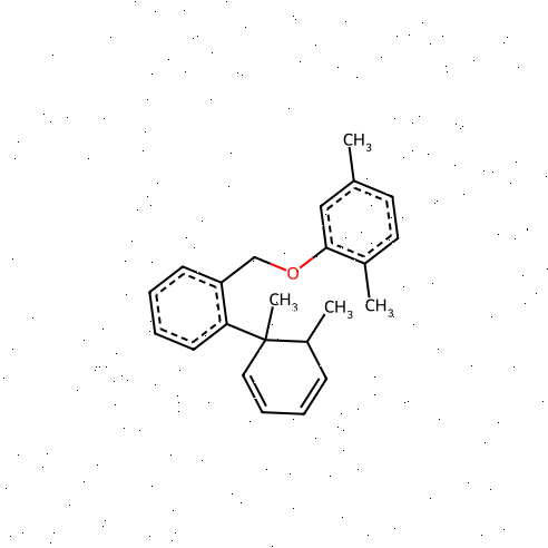 Cc1ccc(C)c(OCc2ccccc2C2(C)C=CC=CC2C)c1